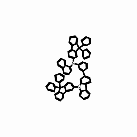 c1ccc(C2(c3ccccc3)c3ccccc3-c3cc(-n4c5ccccc5c5ccc(-c6cccc(N(c7ccc8c(c7)C(c7ccccc7)(c7ccccc7)c7ccccc7-8)c7cccc8ccccc78)c6)cc54)ccc32)cc1